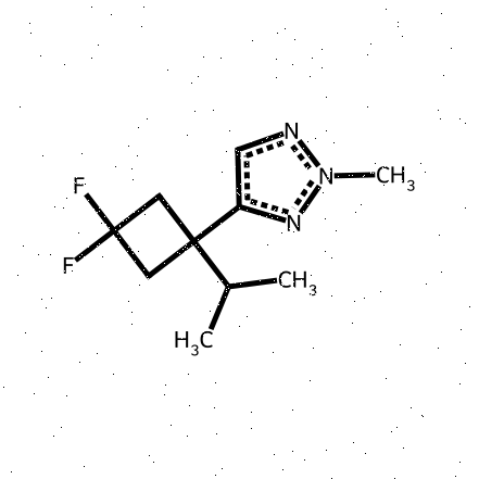 CC(C)C1(c2cnn(C)n2)CC(F)(F)C1